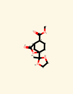 COC(=O)C1CCC2(C3(C)OCCO3)CC1C(=O)O2